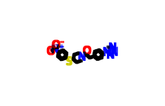 O=C(Cc1ccc(-n2cnnn2)cc1)N1CCC(Sc2ccc([N+](=O)[O-])cc2)CC1